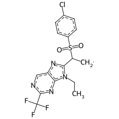 [CH2]C(c1nc2cnc(C(F)(F)F)nc2n1CC)S(=O)(=O)c1ccc(Cl)cc1